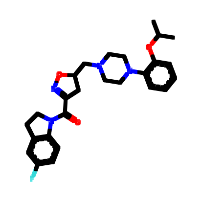 CC(C)Oc1ccccc1N1CCN(CC2CC(C(=O)N3CCc4cc(F)ccc43)=NO2)CC1